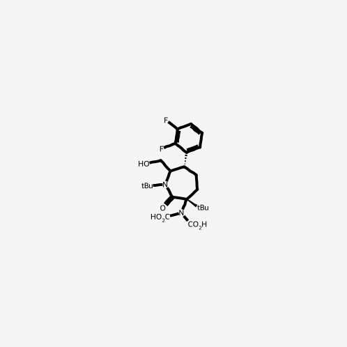 CC(C)(C)N1C(=O)[C@](N(C(=O)O)C(=O)O)(C(C)(C)C)CC[C@@H](c2cccc(F)c2F)C1CO